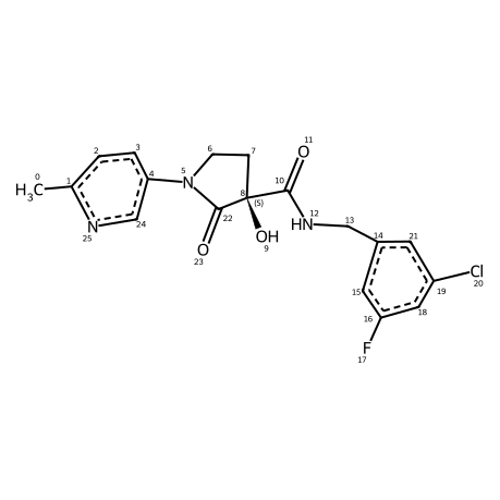 Cc1ccc(N2CC[C@](O)(C(=O)NCc3cc(F)cc(Cl)c3)C2=O)cn1